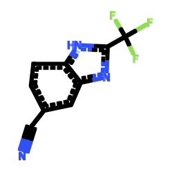 N#Cc1ccc2[nH]c(C(F)(F)F)nc2c1